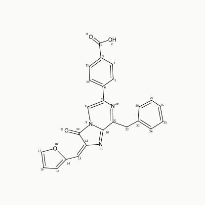 O=C(O)c1ccc(C2=CN3C(=O)C(=Cc4ccco4)N=C3C(Cc3ccccc3)=N2)cc1